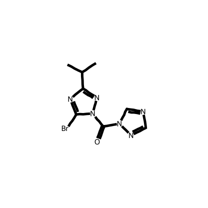 CC(C)c1nc(Br)n(C(=O)n2cncn2)n1